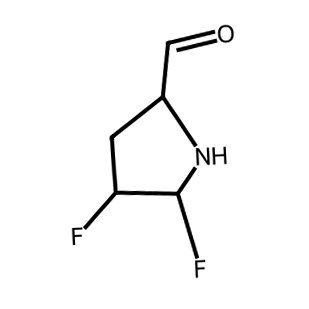 O=CC1CC(F)C(F)N1